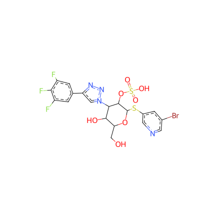 O=S(=O)(O)OC1C(Sc2cncc(Br)c2)OC(CO)C(O)C1n1cc(-c2cc(F)c(F)c(F)c2)nn1